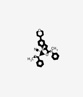 COC(c1ccccc1)[C@H]1C[C@]1(C#N)n1c(C(=O)N(C)c2ccccc2)cc2cc(C3CCOCC3)ccc21